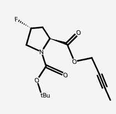 CC#CCOC(=O)[C@@H]1C[C@@H](F)CN1C(=O)OC(C)(C)C